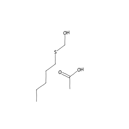 CC(=O)O.CCCCCSCO